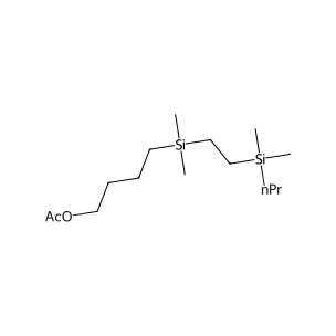 CCC[Si](C)(C)CC[Si](C)(C)CCCCOC(C)=O